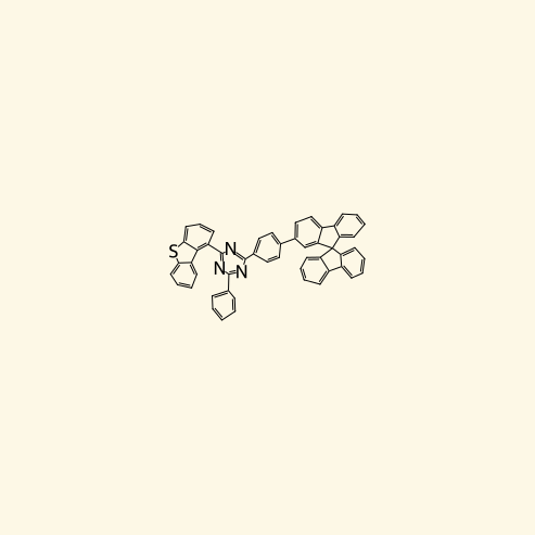 c1ccc(-c2nc(-c3ccc(-c4ccc5c(c4)C4(c6ccccc6-c6ccccc64)c4ccccc4-5)cc3)nc(-c3cccc4sc5ccccc5c34)n2)cc1